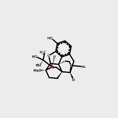 CO[C@@]12CC[C@]3(C[C@@H]1[C@](C)(O)C(C)(C)C)[C@H]1Cc4ccc(O)c5c4[C@]3(CCN1C(C)=O)[C@@H]2O5